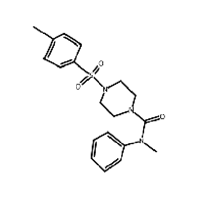 Cc1ccc(S(=O)(=O)N2CCN(C(=O)N(C)c3ccccc3)CC2)cc1